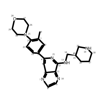 Cc1cc(-c2cc3nccnc3c(NC[C@@H]3CCCNC3)n2)ccc1N1CCOCC1